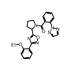 CCOc1ccccc1-c1noc(C2CCCN2C(=O)c2ccccc2-n2nccn2)n1